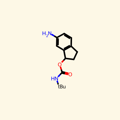 CC(C)(C)NC(=O)OC1CCc2ccc(N)cc21